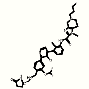 Cc1c(NC(=O)c2nc3c(n2C)CCN(CCCF)C3)cccc1-c1ccnc(-c2ccc(CNC[C@H]3CCC(=O)N3)c(OC(F)F)c2)c1Cl